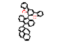 C1=Cc2ccc3ccc(-c4c5ccccc5c(-c5c6oc7ccccc7c6cc6c5oc5ccccc56)c5ccccc45)c4c3c2C(C=C4)C1